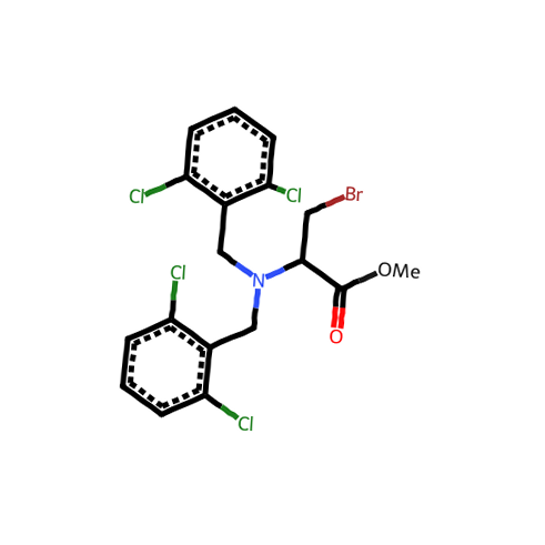 COC(=O)C(CBr)N(Cc1c(Cl)cccc1Cl)Cc1c(Cl)cccc1Cl